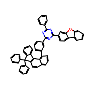 c1ccc(-c2nc(-c3cccc(-c4cccc5ccc6c(c45)-c4ccccc4C6(c4ccccc4)c4ccccc4)c3)nc(-c3ccc4c(c3)oc3ccccc34)n2)cc1